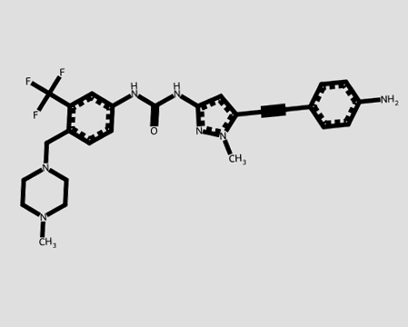 CN1CCN(Cc2ccc(NC(=O)Nc3cc(C#Cc4ccc(N)cc4)n(C)n3)cc2C(F)(F)F)CC1